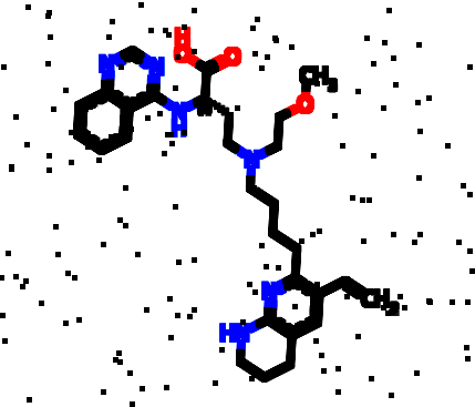 C=Cc1cc2c(nc1CCCCN(CCOC)CC[C@H](Nc1ncnc3ccccc13)C(=O)O)NCCC2